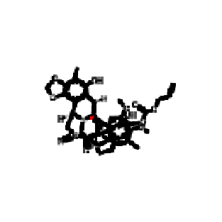 C=CCOC(=O)Oc1cc2c(cc1OC)[C@@]1(CS[C@@H]3c4c(O)c(C)c5c(c4[C@H](COC1=O)N1C3C3c4c(cc(C)c(OC)c4O)C[C@H]([C@@H]1C#N)N3C)OCO5)NCC2